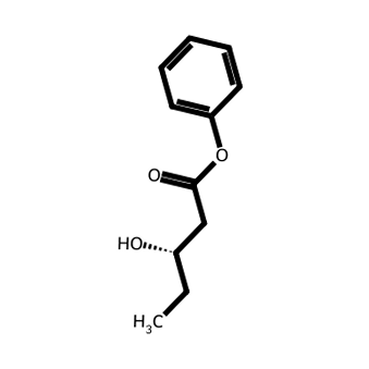 CC[C@H](O)CC(=O)Oc1ccccc1